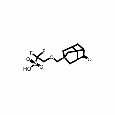 O=C1C2CC3CC1CC(COCC(F)(F)S(=O)(=O)O)(C3)C2